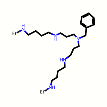 CCNCCCCNCCCN(CCCNCCCCNCC)Cc1ccccc1